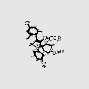 CCOC(=O)OC1=C(c2c(C)cc(Cl)cc2C)C(=O)N(c2cccc(OCC)c2)C12CCN(OC)CC2